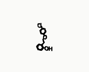 Oc1ccccc1CCOc1ccc(Cl)cc1